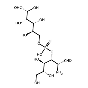 N[C@@H](C=O)[C@@H](OP(=O)(O)OC[C@@H](O)[C@@H](O)[C@H](O)[C@@H](O)C=O)[C@H](O)[C@H](O)CO